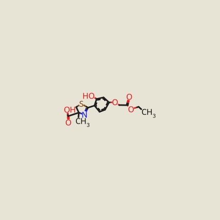 CCOC(=O)COc1ccc(C2=NC(C)(C(=O)O)CS2)c(O)c1